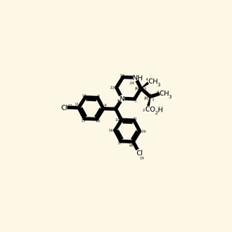 C[C@@H](C(=O)O)[C@]1(C)CN(C(c2ccc(Cl)cc2)c2ccc(Cl)cc2)CCN1